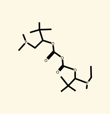 CCP(C)C(OC(=O)OC(=O)OC(CP(C)C)C(C)(C)C)C(C)(C)C